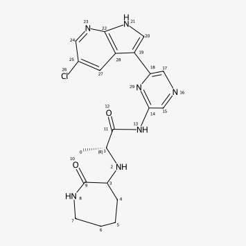 C[C@@H](NC1CCCCNC1=O)C(=O)Nc1cncc(-c2c[nH]c3ncc(Cl)cc23)n1